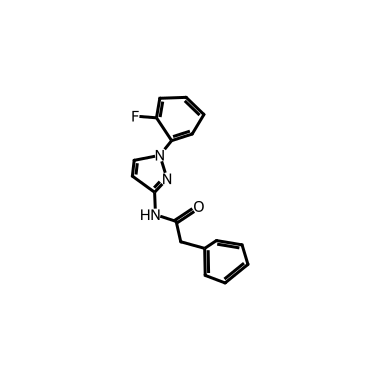 O=C(Cc1ccccc1)Nc1ccn(-c2ccccc2F)n1